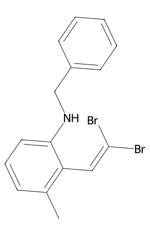 Cc1cccc(NCc2ccccc2)c1C=C(Br)Br